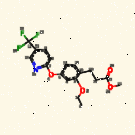 CCOc1cc(Oc2ccc(C(F)(F)F)cn2)ccc1CCC(=O)OC